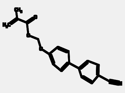 C=C(C)C(=O)OCOc1ccc(-c2ccc(C#N)cc2)cc1